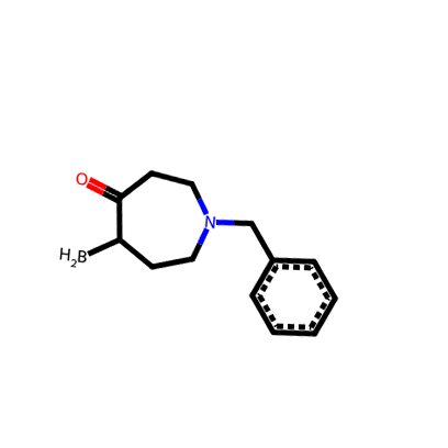 BC1CCN(Cc2ccccc2)CCC1=O